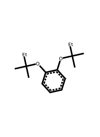 CCC(C)(C)Oc1[c]cccc1OC(C)(C)CC